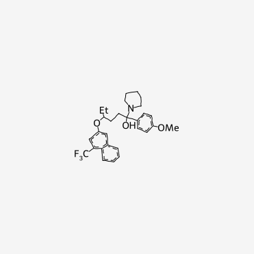 CCC(CCC(O)(c1ccc(OC)cc1)N1CCCCC1)Oc1cc(C(F)(F)F)c2ccccc2c1